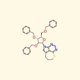 c1ccc(COC[C@H]2O[C@@H](n3cc4c5c(ncnc53)SCCC4)[C@@H](OCc3ccccc3)[C@@H]2OCc2ccccc2)cc1